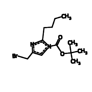 CCCCc1nc(CBr)cn1C(=O)OC(C)(C)C